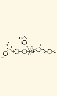 CC1(C)CCC(CN2CCN(c3ccc(S(=O)(=O)NC(=O)c4ccc(COc5ccc(Cl)cc5)c(F)c4)c(Oc4cnc5[nH]ccc5c4)c3)CC2)=C(c2ccc(Cl)cc2)C1